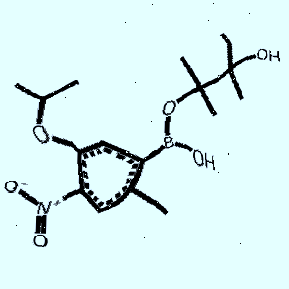 Cc1cc([N+](=O)[O-])c(OC(C)C)cc1B(O)OC(C)(C)C(C)(C)O